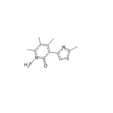 Cc1nc(-c2c(C)c(C)c(C)n(P)c2=O)cs1